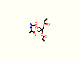 C=CC(=O)OCC(COC(=O)C=C)(COC(=O)C=C)COC(=O)C(=C)C#N